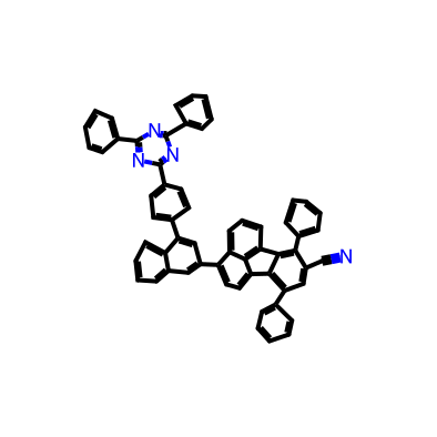 N#Cc1cc(-c2ccccc2)c2c(c1-c1ccccc1)-c1cccc3c(-c4cc(-c5ccc(-c6nc(-c7ccccc7)nc(-c7ccccc7)n6)cc5)c5ccccc5c4)ccc-2c13